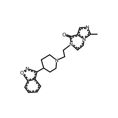 Cc1ncc2c(=O)n(CCN3CCC(c4noc5ccccc45)CC3)ccn12